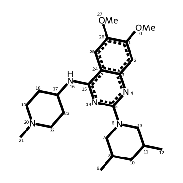 COc1cc2nc(N3CC(C)CC(C)C3)nc(NC3CCN(C)CC3)c2cc1OC